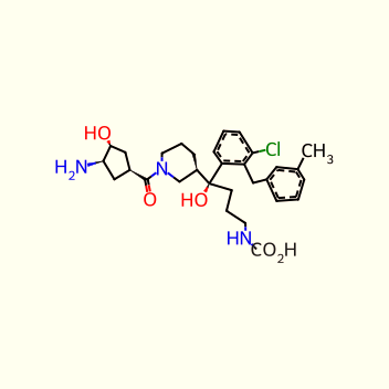 Cc1cccc(Cc2c(Cl)cccc2[C@](O)(CCCNC(=O)O)[C@@H]2CCCN(C(=O)[C@H]3C[C@@H](N)[C@@H](O)C3)C2)c1